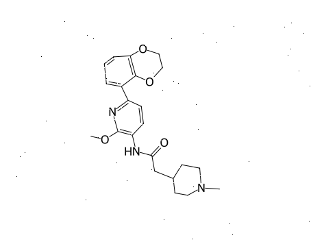 COc1nc(-c2cccc3c2OCCO3)ccc1NC(=O)CC1CCN(C)CC1